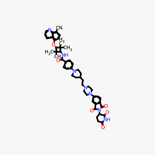 CC1(C)C(NC(=O)c2ccc(N3CCC(CCN4CCN(c5ccc6c(c5)C(=O)N(C5CCC(=O)NC5=O)C6=O)CC4)CC3)cc2)C(C)(C)C1Oc1ccc(C#N)c2ncccc12